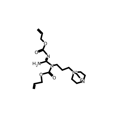 C=CCOC(=O)N=C(N)N(CCC[N+]12CCN(CC1)CC2)C(=O)OCC=C